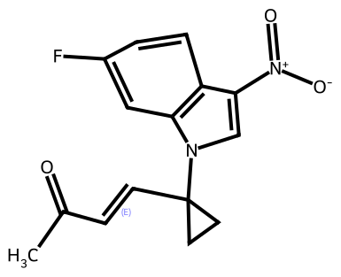 CC(=O)/C=C/C1(n2cc([N+](=O)[O-])c3ccc(F)cc32)CC1